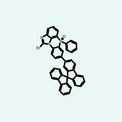 CCc1nc2cccc3c2n1-c1ccc(-c2ccc4c(c2)C2(c5ccccc5-c5ccccc52)c2ccccc2-4)cc1P3(=O)c1ccccc1